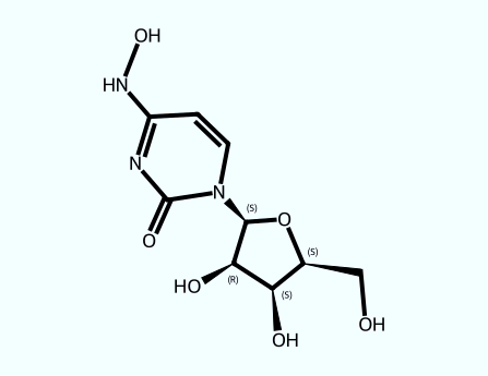 O=c1nc(NO)ccn1[C@H]1O[C@@H](CO)[C@@H](O)[C@H]1O